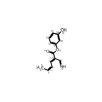 C/C=C\C=C(/C=N)C(=O)Oc1cccc(O)c1